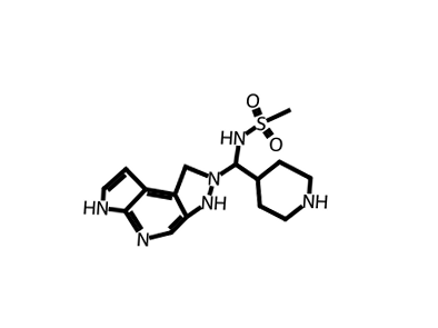 CS(=O)(=O)NC(C1CCNCC1)N1Cc2c(cnc3[nH]ccc23)N1